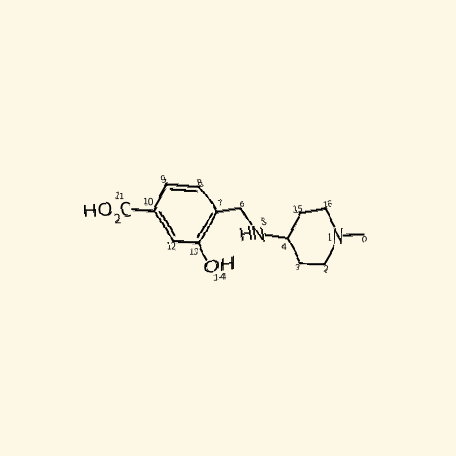 CN1CCC(NCc2ccc(C(=O)O)cc2O)CC1